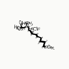 CCCCCCCCCCCCCCCCCCCCN(C)CC(O)O.Cl